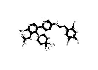 Cc1ncc(-c2ccc(OCCc3cc(F)c(F)cc3F)cn2)c(N2CCC(C)(C)CC2)c1CC(=O)O